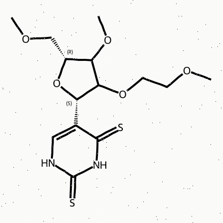 COCCOC1C(OC)[C@@H](COC)O[C@H]1c1c[nH]c(=S)[nH]c1=S